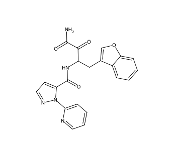 NC(=O)C(=O)C(Cc1coc2ccccc12)NC(=O)c1ccnn1-c1ccccn1